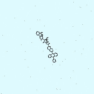 C=CC1=C(c2cc3sc4ccccc4c3cc2C)C(=C)C(CC(=C)c2ccc3cc(-c4c5ccccc5c(-c5ccccc5)c5ccccc45)ccc3c2)S1